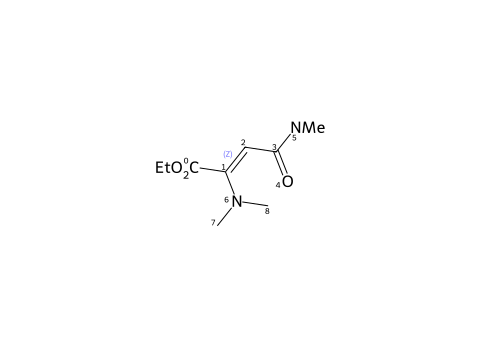 CCOC(=O)/C(=C/C(=O)NC)N(C)C